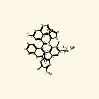 Cc1cc2c(cc1C(C)(C)C)-c1cc(C(C)(C)C)c(C)[c]([Zr]([C]3=CC=CC3)=[C](c3cc(Cl)cc4ccccc34)c3cc(Cl)cc4ccccc34)c1C2.Cl.Cl